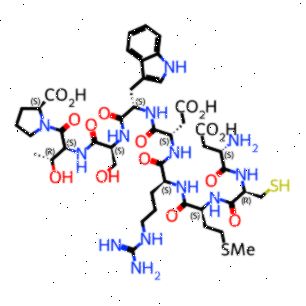 CSCC[C@H](NC(=O)[C@H](CS)NC(=O)[C@@H](N)CC(=O)O)C(=O)N[C@@H](CCCNC(=N)N)C(=O)N[C@@H](CC(=O)O)C(=O)N[C@@H](Cc1c[nH]c2ccccc12)C(=O)N[C@@H](CO)C(=O)N[C@H](C(=O)N1CCC[C@H]1C(=O)O)[C@@H](C)O